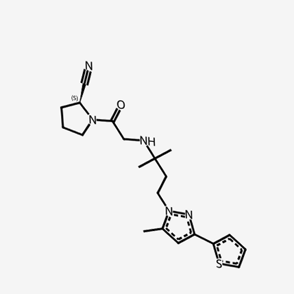 Cc1cc(-c2cccs2)nn1CCC(C)(C)NCC(=O)N1CCC[C@H]1C#N